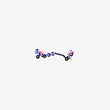 O=C1CCC(N2Cc3c(C#CCCCCCCCN4CCN(C5CCN(c6ccc7c(c6)C(=O)N(C(C(=O)Nc6nccs6)c6ccccc6)C7)CC5)CC4)cccc3C2=O)C(=O)N1